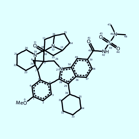 COc1ccc2c(c1)C1CC1(C(=O)N1C3CCC1CC(N1CCCCC1)C3)Cn1c-2c(C2CCCCC2)c2ccc(C(=O)NS(=O)(=O)N(C)C)cc21